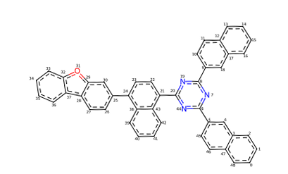 c1ccc2cc(-c3nc(-c4ccc5ccccc5c4)nc(-c4ccc(-c5ccc6c(c5)oc5ccccc56)c5ccccc45)n3)ccc2c1